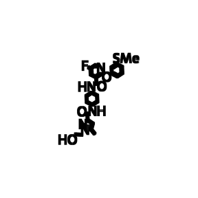 CSc1cccc(Oc2ncc(F)cc2C(=O)NC2CCC(NC(=O)c3cc(C)n(CCO)n3)CC2)c1